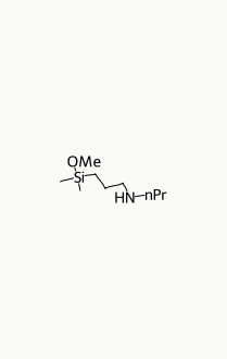 CCCNCCC[Si](C)(C)OC